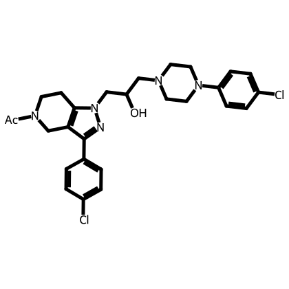 CC(=O)N1CCc2c(c(-c3ccc(Cl)cc3)nn2CC(O)CN2CCN(c3ccc(Cl)cc3)CC2)C1